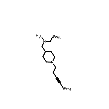 CCCC(C)C#CCCN1CCC(CN(C)CC(C)CCC)CC1